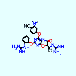 CCC(NC(=N)N)C1Oc2nc(Oc3ccccc3NC(=N)N)nc(Oc3ccc(C#N)c(N(C)C)c3)c2NC1=O